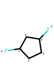 F[C]1CCC(F)C1